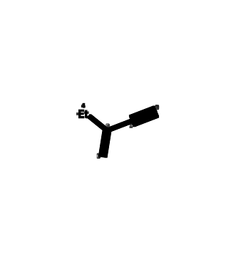 C#CC(=C)[CH]C